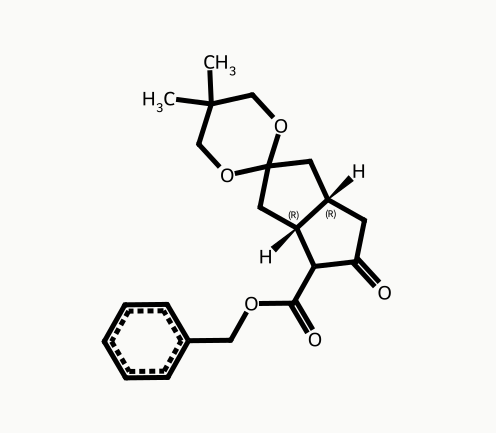 CC1(C)COC2(C[C@@H]3CC(=O)C(C(=O)OCc4ccccc4)[C@@H]3C2)OC1